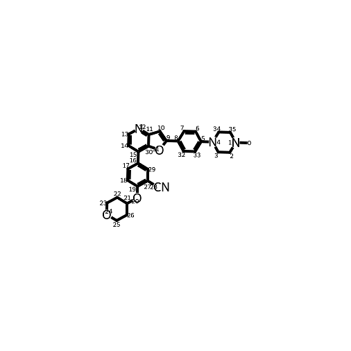 CN1CCN(c2ccc(-c3cc4nccc(-c5ccc(OC6CCOCC6)c(C#N)c5)c4o3)cc2)CC1